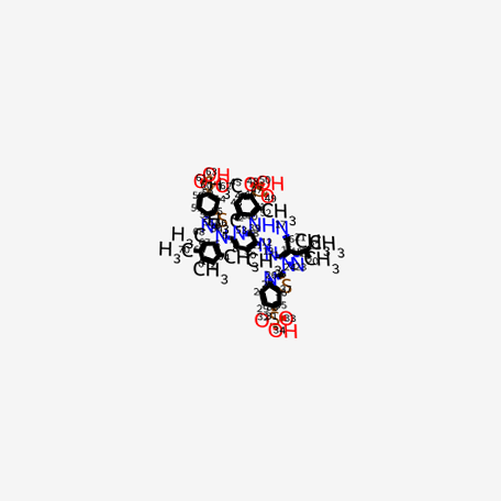 Cc1cc(C)c(N(c2cc(C)c(N=Nc3c(C#N)c(C(C)(C)C)nn3-c3nc4ccc(S(=O)(=O)O)cc4s3)c(Nc3c(C)cc(C)c(S(=O)(=O)O)c3C)n2)c2nc3ccc(S(=O)(=O)O)cc3s2)c(C)c1C